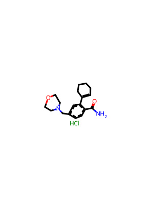 Cl.NC(=O)c1ccc(CN2CCOCC2)cc1C1=CCCCC1